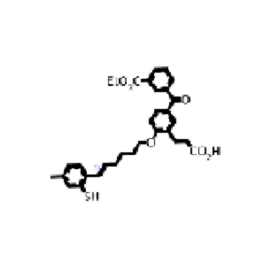 CCOC(=O)c1cccc(C(=O)c2ccc(OCCCC/C=C/c3ccc(C)cc3S)c(CCC(=O)O)c2)c1